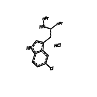 CCCNC(CCC)Cc1c[nH]c2ccc(Cl)cc12.Cl